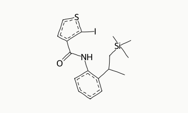 CC(C[Si](C)(C)C)c1ccccc1NC(=O)c1ccsc1I